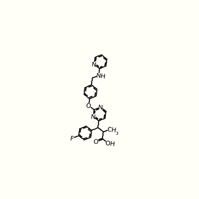 CC(C(=O)O)C(c1ccc(F)cc1)c1ccnc(Oc2ccc(CNc3ccccn3)cc2)n1